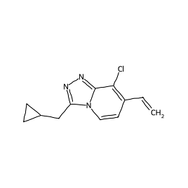 C=Cc1ccn2c(CC3CC3)nnc2c1Cl